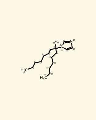 CCCCCCCC(C)(CCCCCC)n1ccnc1